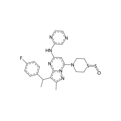 Cc1nn2c(N3CCS(=S=O)CC3)cc(Nc3cnccn3)nc2c1C(C)c1ccc(F)cc1